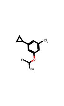 CCCCC(CC)Oc1cc(C2CC2)cc([N+](=O)[O-])c1